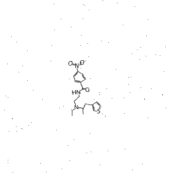 CCN(CCNC(=O)c1ccc([N+](=O)[O-])cc1)C(C)Cc1ccsc1